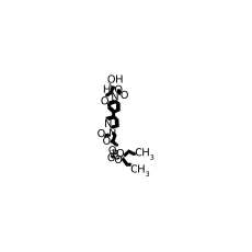 CCCCOP(=O)(OCCCC)OCC1CN(c2ccc(-c3ccc4c(c3)OC[C@H]3[C@H](CO)OC(=O)N43)cn2)C(=O)O1